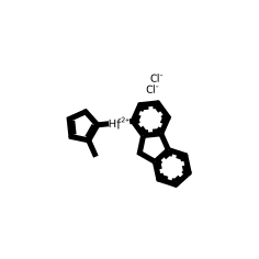 CC1=[C]([Hf+2][c]2cccc3c2Cc2ccccc2-3)CC=C1.[Cl-].[Cl-]